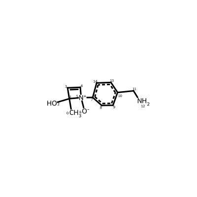 CC1(O)C=C[N+]1([O-])c1ccc(CN)cc1